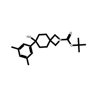 Cc1cc(C)cc(C2(O)CCC3(CC2)CN(C(=O)OC(C)(C)C)C3)c1